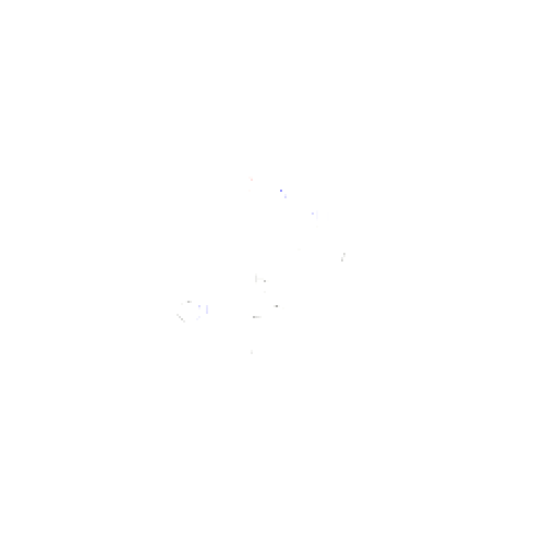 C=C(C)C1CC[C@]2(NCCN3CCS(=O)(=O)CC3)CC[C@]3(C)[C@H](CC[C@@H]4[C@@]5(C)CC=C(C6=CCC(CCOc7ncccc7C)(C(=O)O)CC6)C(C)(C)[C@@H]5CC[C@]43C)[C@@H]12